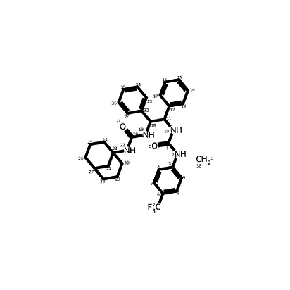 O=C(Nc1ccc(C(F)(F)F)cc1)NC(c1ccccc1)C(NC(=O)NC12CCCC(CCC1)C2)c1ccccc1.[CH2]